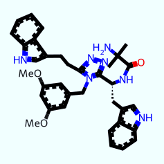 COc1cc(Cn2c(CCc3c[nH]c4ccccc34)nnc2[C@@H](Cc2c[nH]c3ccccc23)NC(=O)C(C)(C)N)cc(OC)c1